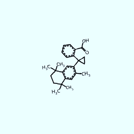 Cc1cc2c(cc1C1(c3ccccc3C(=O)O)CC1)C(C)(C)CCC2(C)C